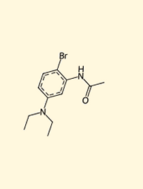 CCN(CC)c1ccc(Br)c(NC(C)=O)c1